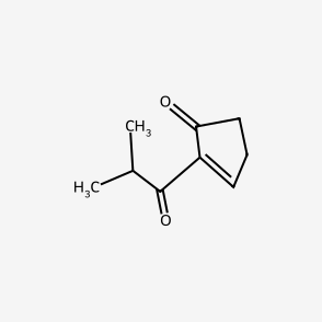 CC(C)C(=O)C1=CCCC1=O